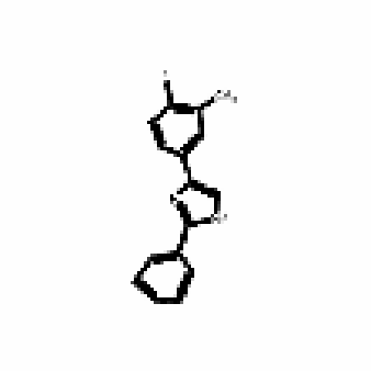 Cc1cc(-c2c[nH]c(-c3ccccc3)n2)ccc1F